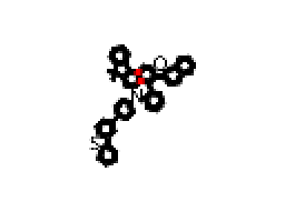 CC1(C)c2ccccc2-c2ccc(N(c3ccc(-c4ccc5sc6ccccc6c5c4)cc3)c3ccccc3-c3cccc4oc5c6ccccc6ccc5c34)cc21